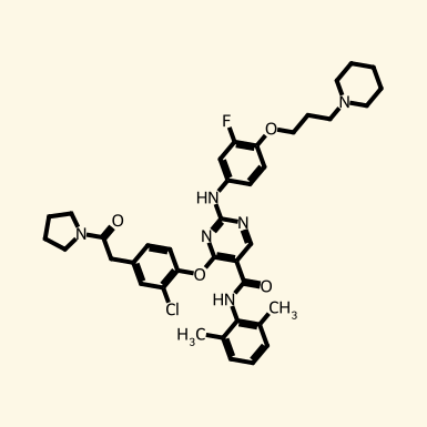 Cc1cccc(C)c1NC(=O)c1cnc(Nc2ccc(OCCCN3CCCCC3)c(F)c2)nc1Oc1ccc(CC(=O)N2CCCC2)cc1Cl